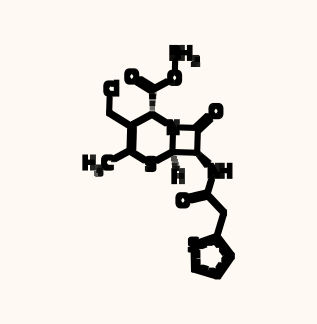 BOC(=O)[C@H]1C(CCl)=C(C)S[C@@H]2[C@H](NC(=O)Cc3cccs3)C(=O)N12